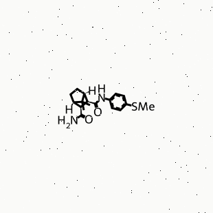 CSc1ccc(NC(=O)[C@H]2[C@@H](C(N)=O)[C@H]3CC[C@@H]2C3(C)C)cc1